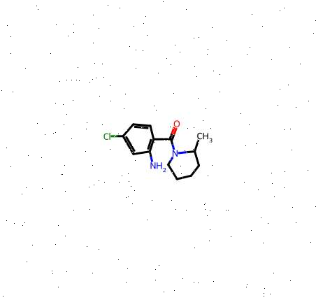 CC1CCCCN1C(=O)c1ccc(Cl)cc1N